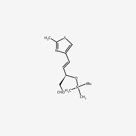 Cc1nc(C=C[C@H](CC=O)O[Si](C)(C)C(C)(C)C)cs1